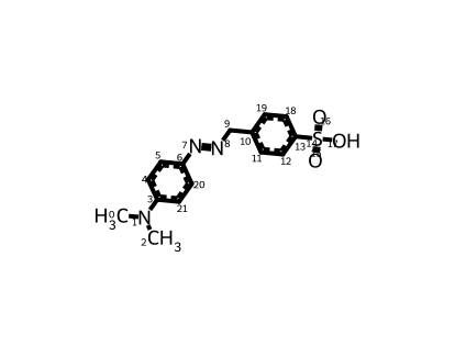 CN(C)c1ccc(N=NCc2ccc(S(=O)(=O)O)cc2)cc1